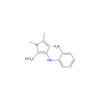 CCOC(=O)c1c(Nc2ccccc2N)cc(C)n1C